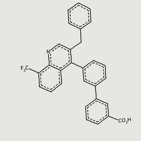 O=C(O)c1cccc(-c2cccc(-c3c(Cc4ccccc4)cnc4c(C(F)(F)F)cccc34)c2)c1